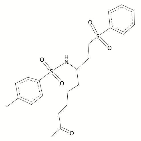 CC(=O)CCCCC(CCS(=O)(=O)c1ccccc1)NS(=O)(=O)c1ccc(C)cc1